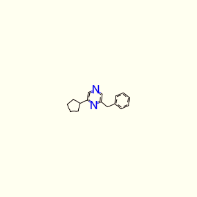 c1ccc(Cc2cncc(C3CCCC3)n2)cc1